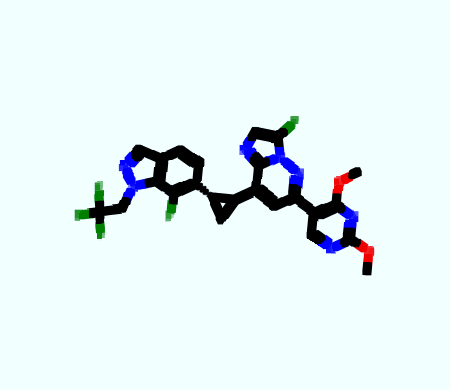 COc1ncc(-c2cc(C3C[C@@H]3c3ccc4cnn(CC(F)(F)F)c4c3F)c3ncc(F)n3n2)c(OC)n1